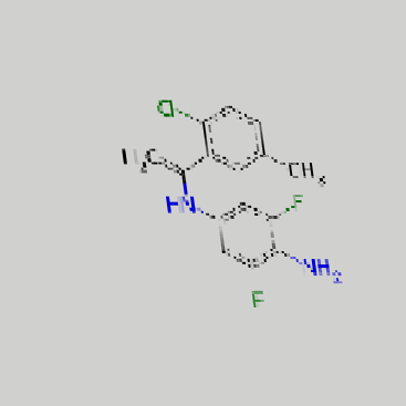 C=C(Nc1cc(F)c(N)c(F)c1)c1cc(C)ccc1Cl